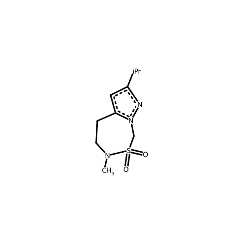 CC(C)c1cc2n(n1)CS(=O)(=O)N(C)CC2